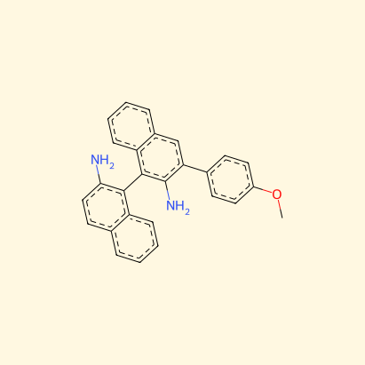 COc1ccc(-c2cc3ccccc3c(-c3c(N)ccc4ccccc34)c2N)cc1